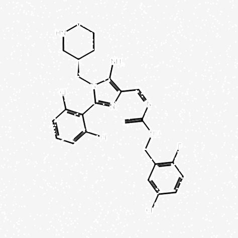 C=C(/N=C\c1nc(-c2c(Cl)cccc2Cl)n(C[C@@H]2CCCNC2)c1N)NCc1cc(Cl)ccc1F